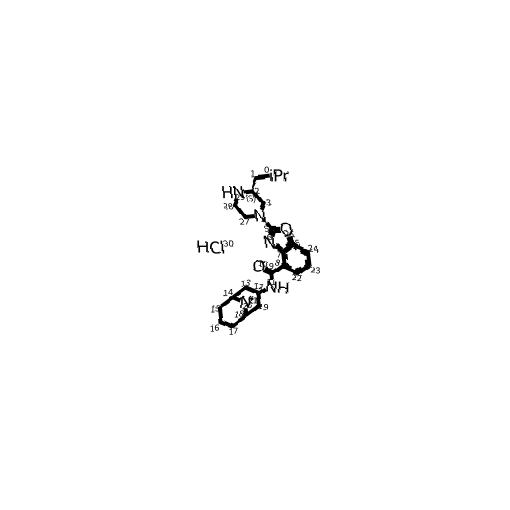 CC(C)C[C@H]1CN(c2nc3c(C(=O)NC4CC5CCCC(C4)N5C)cccc3o2)CCN1.Cl